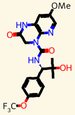 COc1cnc2c(c1)NC(=O)CN2C(=O)N[C@@H](c1ccc(OC(F)(F)F)cc1)C(C)(C)O